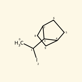 CC(I)C1C2CCC1CC2